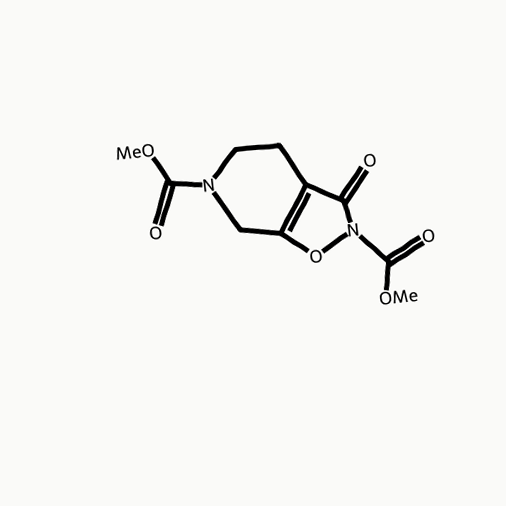 COC(=O)N1CCc2c(on(C(=O)OC)c2=O)C1